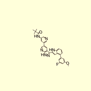 COc1cc(F)cc(-c2cccc3[nH]c(-c4n[nH]c5ncc(-c6cncc(NC(=O)C(C)(C)C)c6)cc45)cc23)c1